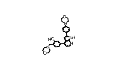 N#Cc1cc(-c2ccnc3[nH]c(-c4ccc(N5CCOCC5)cc4)cc23)ccc1CN1CCOCC1